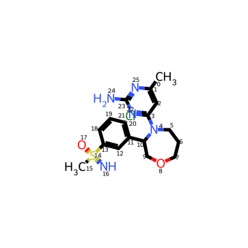 Cc1cc(N2CCCOCC2c2cc(S(C)(=N)=O)ccc2Cl)nc(N)n1